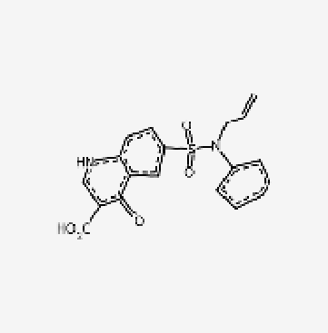 C=CCN(c1ccccc1)S(=O)(=O)c1ccc2[nH]cc(C(=O)O)c(=O)c2c1